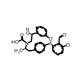 C[C@H](Cc1ccc(Sc2cccc(Cl)c2C=O)cc1)N(C[C@@H](O)c1cccc(Cl)c1)C(=O)O